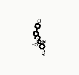 COC[C@H]1CCC(NC(=O)Cc2cc(-c3ccc(Cl)cc3)ccc2C)(C(=O)O)[C@@H](C)C1